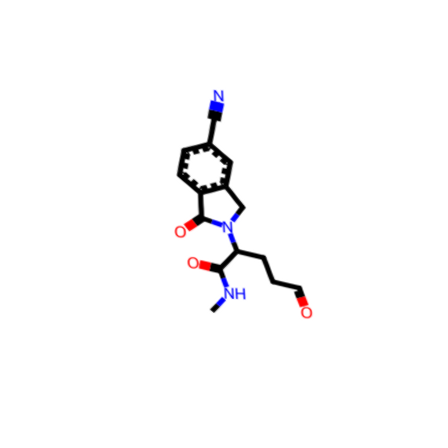 CNC(=O)C(CCC=O)N1Cc2cc(C#N)ccc2C1=O